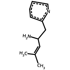 CC(C)=CC(N)Cc1ccccn1